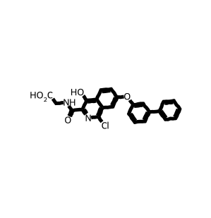 O=C(O)CNC(=O)c1nc(Cl)c2cc(Oc3cccc(-c4ccccc4)c3)ccc2c1O